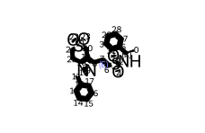 C[C@@H](NS(=O)(=O)/C=C/c1nn(Cc2ccccc2)c2c1CS(=O)(=O)CC2)c1ccccc1